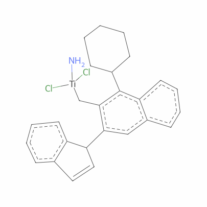 [NH2][Ti]([Cl])([Cl])[CH2]c1c(C2C=Cc3ccccc32)cc2ccccc2c1C1CCCCC1